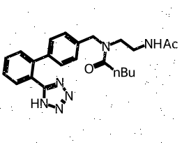 CCCCC(=O)N(CCNC(C)=O)Cc1ccc(-c2ccccc2-c2nnn[nH]2)cc1